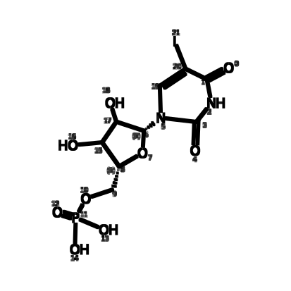 O=c1[nH]c(=O)n([C@@H]2O[C@H](COP(=O)(O)O)C(O)C2O)cc1I